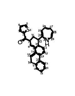 O=C(c1cccs1)C1C=c2c(ccc3c2=CCc2ccccc2-3)C(C2=CC=CC=CN2)C1